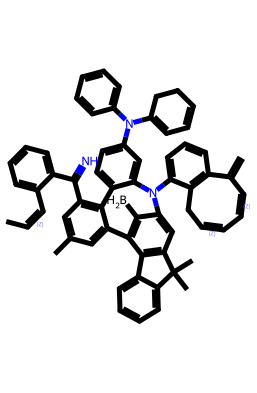 Bc1c2cc3c(c1-c1cc(C)cc(C(=N)c4ccccc4/C=C\C)c1-c1ccc(N(C4=CC=CCC4)c4ccccc4)cc1N2c1cccc2c1C/C=C\C=C/C2=C)-c1ccccc1C3(C)C